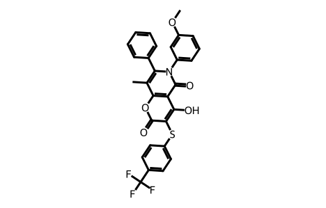 COc1cccc(-n2c(-c3ccccc3)c(C)c3oc(=O)c(Sc4ccc(C(F)(F)F)cc4)c(O)c3c2=O)c1